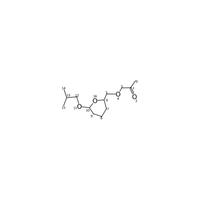 CC(=O)COCC1CCCC(OCC(C)C)O1